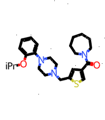 CC(C)Oc1ccccc1N1CCN(Cc2cc(C(=O)N3CCCCCC3)cs2)CC1